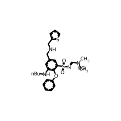 CCCCNc1cc(CNCc2cccs2)cc(S(=O)(=O)N=CN(C)C)c1Oc1ccccc1.Cl